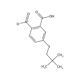 CC(C)(C)CSc1ccc([N+](=O)[O-])c(C(=O)O)c1